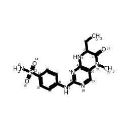 CCC1Nc2nc(Nc3ccc(S(N)(=O)=O)cc3)ncc2N(C)C1=O